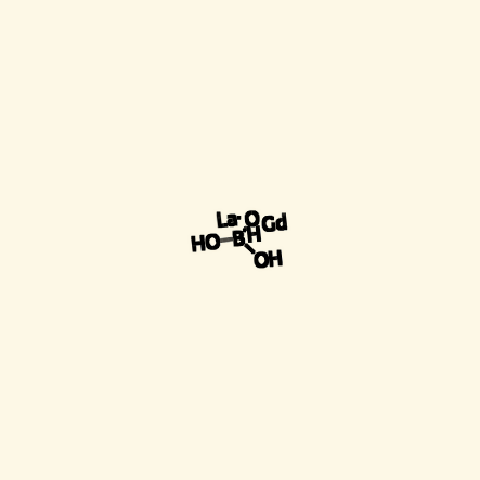 OB(O)O.[Gd].[La]